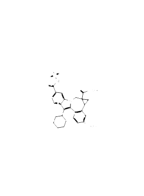 COC(=O)C12CC1c1cc(OC)ccc1-c1c(C3CCCCC3)c3ccc(C(=O)NS(=O)(=O)C(C)C)cc3n1C2